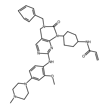 C=CC(=O)NC1CCC(N2C(=O)N(Cc3ccccc3)Cc3cnc(Nc4ccc(N5CCN(C)CC5)cc4OC)nc32)CC1